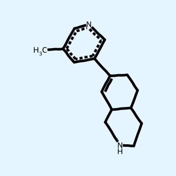 Cc1cncc(C2=CC3CNCCC3CC2)c1